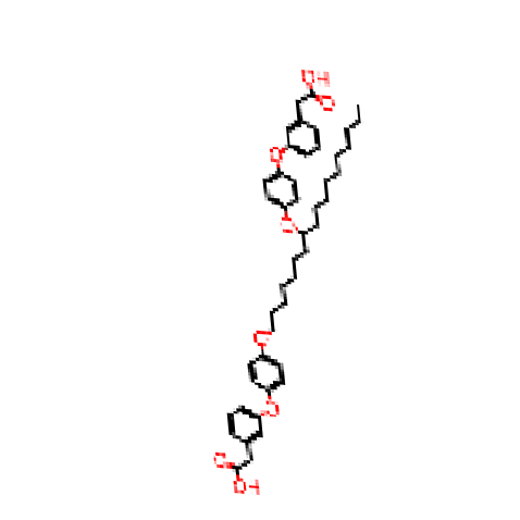 CCCCCCCCCCC(CCCCCCCOc1ccc(Oc2cccc(CC(=O)O)c2)cc1)Oc1ccc(Oc2cccc(CC(=O)O)c2)cc1